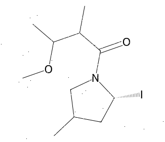 COC(C)C(C)C(=O)N1CC(C)C[C@H]1I